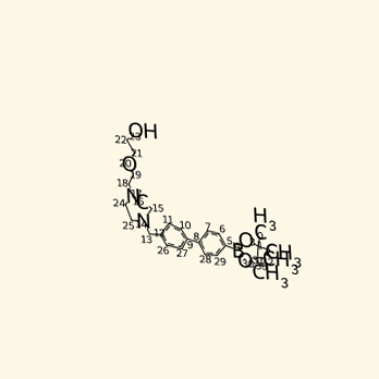 CC1(C)OB(c2ccc(-c3ccc(CN4CCN(CCOCCO)CC4)cc3)cc2)OC1(C)C